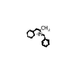 C[C@@H](CC1=CCCCC1)NCc1ccccc1